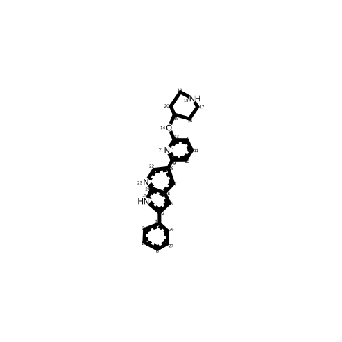 c1ccc(-c2cc3cc(-c4cccc(OC5CCNCC5)n4)cnc3[nH]2)cc1